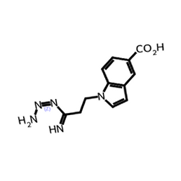 N=C(CCn1ccc2cc(C(=O)O)ccc21)/N=N\N